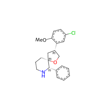 COc1ccc(Cl)cc1[C@@H]1CO[C@]2(CCCN[C@H]2c2ccccc2)C1